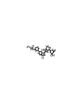 CC(C)CC(=O)Nc1cncc(-c2ccc3[nH]nc(-c4nc5c(-c6cc(O)cc(F)c6)nccc5[nH]4)c3c2)c1